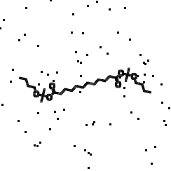 CCCCOC(C)(C)OC(=O)CCCCCCCCCCC(=O)OC(C)(C)OCCCC